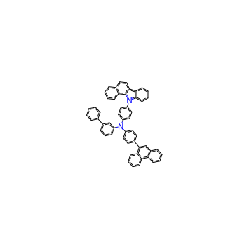 c1ccc(-c2cccc(N(c3ccc(-c4cc5ccccc5c5ccccc45)cc3)c3ccc(-n4c5ccccc5c5ccc6ccccc6c54)cc3)c2)cc1